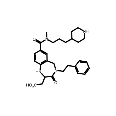 CN(CCCC1CCNCC1)C(=O)c1ccc2c(c1)CN(CCc1ccccc1)C(=O)C(CC(=O)O)N2